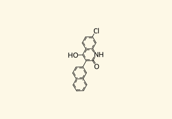 O=c1[nH]c2cc(Cl)ccc2c(O)c1-c1ccc2ccccc2c1